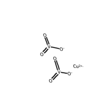 [Cu+2].[O]=[V](=[O])[O-].[O]=[V](=[O])[O-]